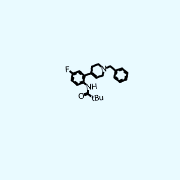 CC(C)(C)C(=O)Nc1ccc(F)cc1C1=CCN(Cc2ccccc2)CC1